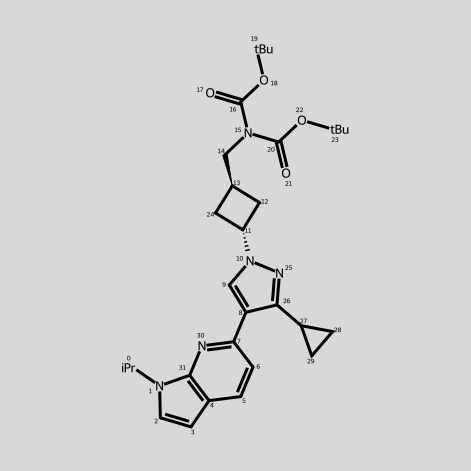 CC(C)n1ccc2ccc(-c3cn([C@H]4C[C@H](CN(C(=O)OC(C)(C)C)C(=O)OC(C)(C)C)C4)nc3C3CC3)nc21